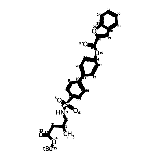 CC(CNS(=O)(=O)c1ccc(-c2ccc(OC(=O)c3cc4ccccc4o3)cc2)cc1)CC(=O)OC(C)(C)C